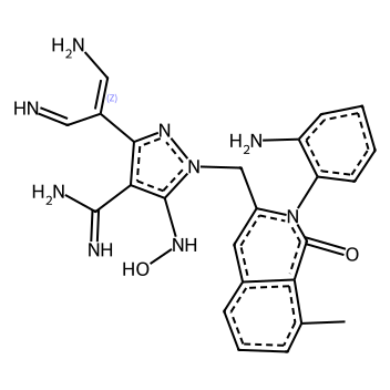 Cc1cccc2cc(Cn3nc(/C(C=N)=C/N)c(C(=N)N)c3NO)n(-c3ccccc3N)c(=O)c12